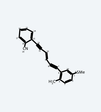 CSc1ccc(C)c(C#CC=CC#Cc2ccccc2C#N)c1